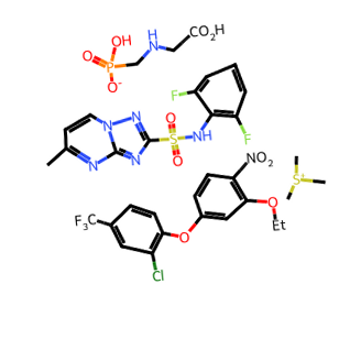 CCOc1cc(Oc2ccc(C(F)(F)F)cc2Cl)ccc1[N+](=O)[O-].C[S+](C)C.Cc1ccn2nc(S(=O)(=O)Nc3c(F)cccc3F)nc2n1.O=C(O)CNCP(=O)([O-])O